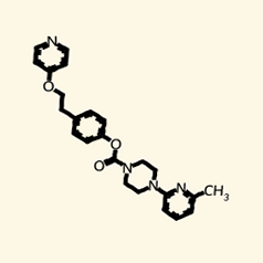 Cc1cccc(N2CCN(C(=O)Oc3ccc(CCOc4ccncc4)cc3)CC2)n1